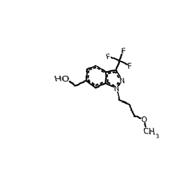 COCCCn1nc(C(F)(F)F)c2ccc(CO)cc21